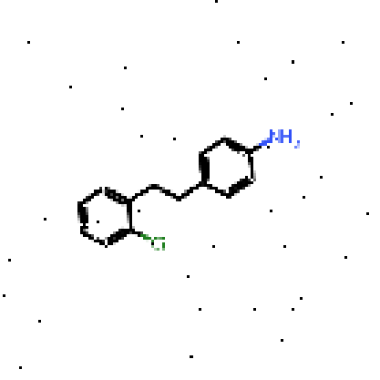 Nc1ccc(CCc2ccccc2Cl)cc1